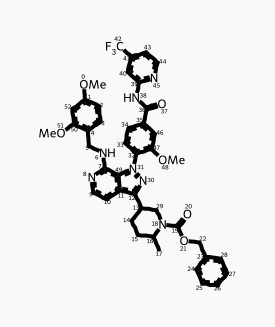 COc1ccc(CNc2nccc3c(C4CCC(C)N(C(=O)OCc5ccccc5)C4)nn(-c4ccc(C(=O)Nc5cc(C(F)(F)F)ccn5)cc4OC)c23)c(OC)c1